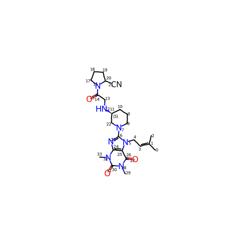 CC(C)=CCn1c(N2CCC[C@H](NCC(=O)N3CCCC3C#N)C2)nc2c1c(=O)n(C)c(=O)n2C